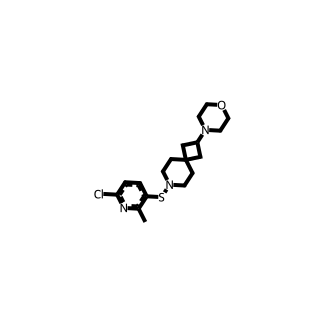 Cc1nc(Cl)ccc1SN1CCC2(CC1)CC(N1CCOCC1)C2